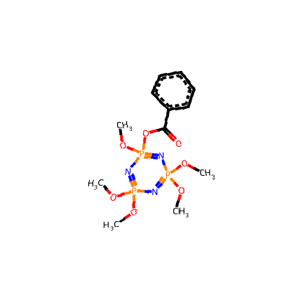 COP1(OC)=NP(OC)(OC)=NP(OC)(OC(=O)c2ccccc2)=N1